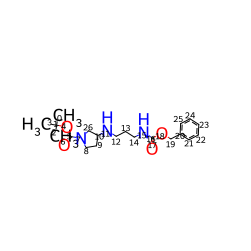 CC(C)(C)OC(=O)N1CCC(NCCCNC(=O)OCc2ccccc2)C1